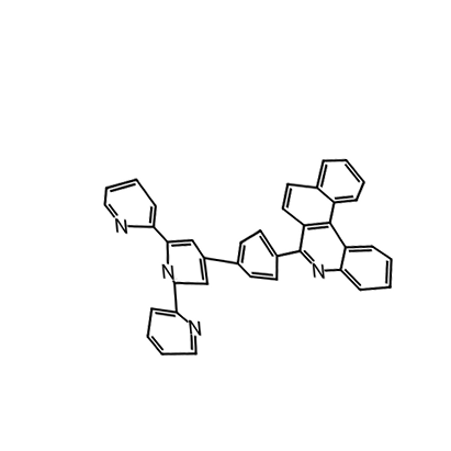 c1ccc(-c2cc(-c3ccc(-c4nc5ccccc5c5c4ccc4ccccc45)cc3)cc(-c3ccccn3)n2)nc1